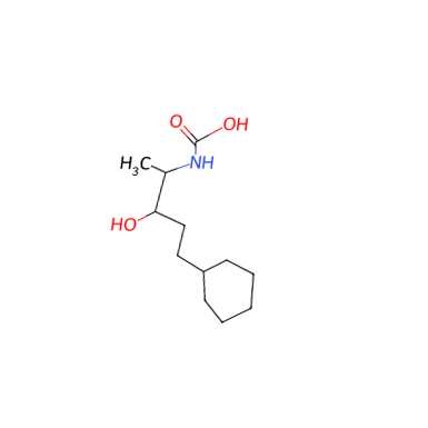 CC(NC(=O)O)C(O)CCC1CCCCC1